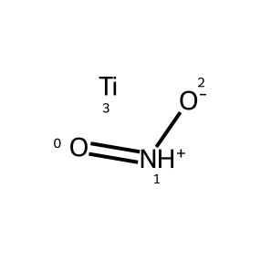 O=[NH+][O-].[Ti]